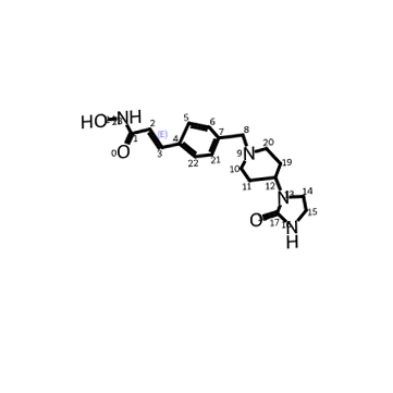 O=C(/C=C/c1ccc(CN2CCC(N3CCNC3=O)CC2)cc1)NO